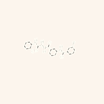 O=C(NNC(=S)Nc1ccccc1Cl)c1cccc(NC(=O)c2cccc(F)c2)c1